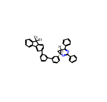 CCC1(CC)c2ccccc2-c2cc(-c3cccc(-c4cccc([C@]56C[C@@H]5C(c5ccccc5)=NC(c5ccccc5)=N6)c4)c3)ccc21